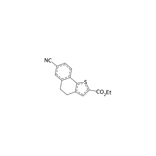 CCOC(=O)c1cc2c(s1)-c1ccc(C#N)cc1CC2